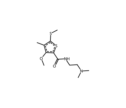 COc1c(C(=O)NCCN(C)C)sc(SC)c1C